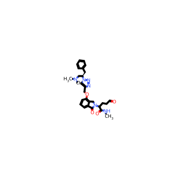 CNC(=O)C(CCC=O)N1Cc2c(OCc3cn([C@H](Cc4ccccc4)CN(C)C)nn3)cccc2C1=O